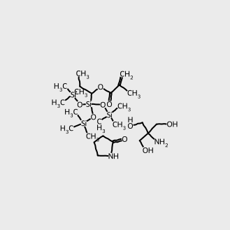 C=C(C)C(=O)OC(CC)[Si](O[Si](C)(C)C)(O[Si](C)(C)C)O[Si](C)(C)C.NC(CO)(CO)CO.O=C1CCCN1